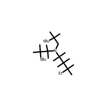 CCC(C)(C)C(C)(C)C(C)(C)N(CC(C)(C)C(C)(C)C)C(C)(C)C(C)(C)C(C)(C)C